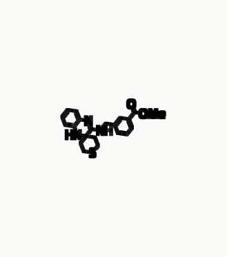 COC(=O)c1cccc(CNC2=Nc3ccccc3NC23CCSCC3)c1